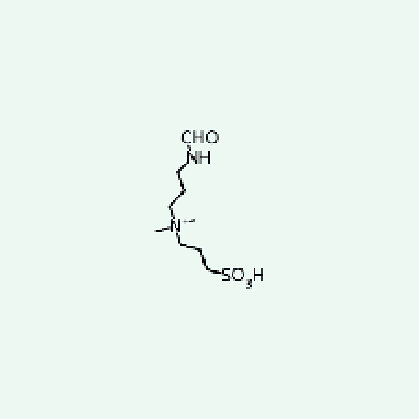 C[N+](C)(CCCNC=O)CCCS(=O)(=O)O